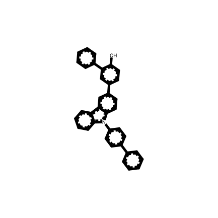 Oc1ccc(-c2ccc3c(c2)c2ccccc2n3-c2ccc(-c3ccccc3)cc2)cc1-c1ccccc1